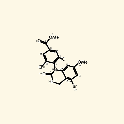 COC(=O)c1cc(Cl)c(N2C(=O)NCc3c(Br)cc(OC)cc32)c(Cl)c1